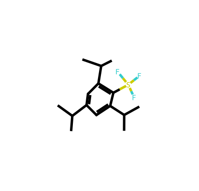 CC(C)c1cc(C(C)C)c(S(F)(F)F)c(C(C)C)c1